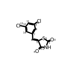 O=C1NC(=O)/C(=C/c2cc(Cl)cc(Cl)c2)S1